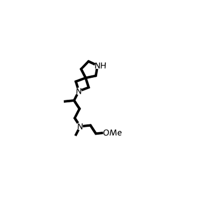 COCCN(C)CCC(C)N1CC2(CCNC2)C1